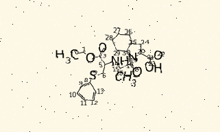 CCOC(=O)C(CSc1ccccc1)N[C@@H](C)C(=O)N1C(C(=O)O)CC2CCCCC21